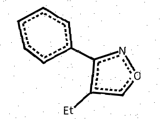 CCc1conc1-c1ccccc1